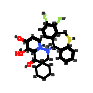 O=C1c2c(O)c(=O)ccn2N([C@H]2c3ccccc3SCc3c2ccc(F)c3F)CC12CCCCC2